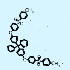 Cc1ccc(S(=O)(=O)c2ccc(Oc3ccc(C(c4ccccc4)(c4ccccc4)c4ccc(Oc5ccc(S(=O)(=O)c6ccc(C)cc6)cc5)cc4)cc3)cc2)cc1